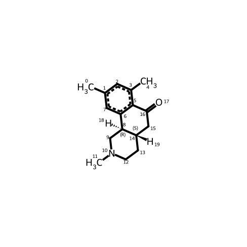 Cc1cc(C)c2c(c1)[C@@H]1CN(C)CC[C@H]1CC2=O